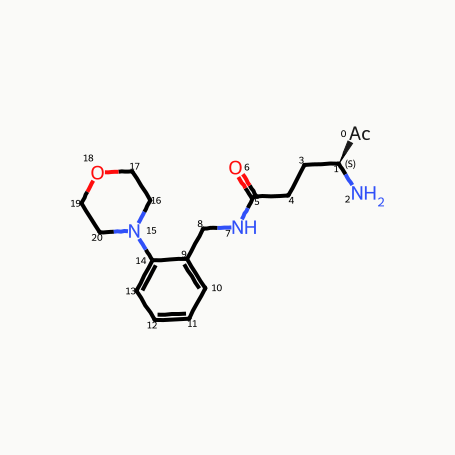 CC(=O)[C@@H](N)CCC(=O)NCc1ccccc1N1CCOCC1